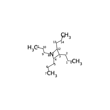 CCCC1C(CCC)N(CCC)C1CCC